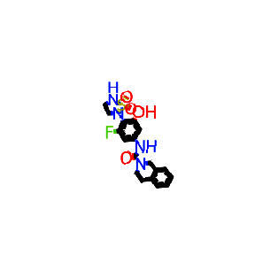 O=C(Nc1cc(O)c(N2CCNS2(=O)=O)c(F)c1)N1CCc2ccccc2C1